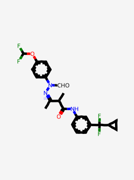 C/C(=N/N(C=O)c1ccc(OC(F)F)cc1)C(C)C(=O)Nc1cccc(C(F)(F)C2CC2)c1